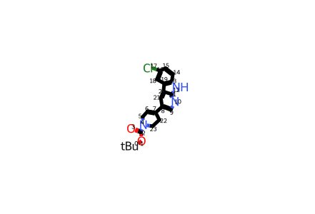 CC(C)(C)OC(=O)N1CC=C(c2cnc3[nH]c4ccc(Cl)cc4c3c2)CC1